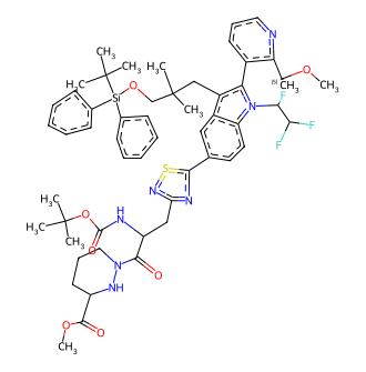 COC(=O)C1CCCN(C(=O)C(Cc2nsc(-c3ccc4c(c3)c(CC(C)(C)CO[Si](c3ccccc3)(c3ccccc3)C(C)(C)C)c(-c3cccnc3[C@H](C)OC)n4C(F)C(F)F)n2)NC(=O)OC(C)(C)C)N1